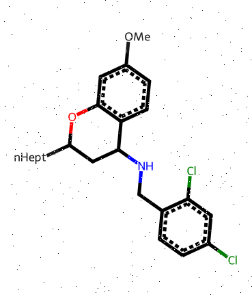 CCCCCCCC1CC(NCc2ccc(Cl)cc2Cl)c2ccc(OC)cc2O1